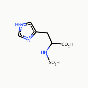 O=C(O)C(Cc1c[nH]cn1)NS(=O)(=O)O